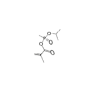 C=C(C)C(=O)OP(C)(=O)OC(C)C